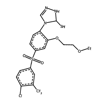 CCOCCOc1cc(S(=O)(=O)c2ccc(Cl)c(C(F)(F)F)c2)ccc1N1C=NNC1S